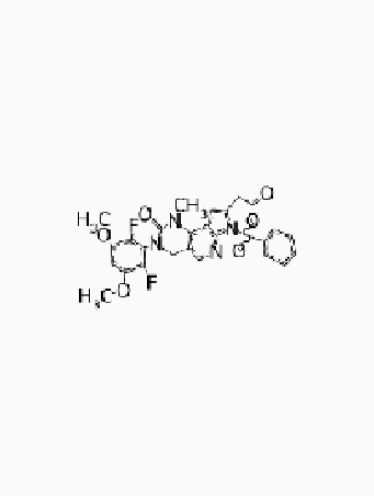 COc1cc(OC)c(F)c(N2Cc3cnc4c(cc(CC=O)n4S(=O)(=O)c4ccccc4)c3N(C)C2=O)c1F